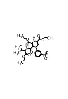 CCOC(=O)C1=C[C@@H](c2cccc([N+](=O)[O-])c2)C(C(=O)NC(C(=O)OCC)C(C)C)=C(C(=O)OCC)N1